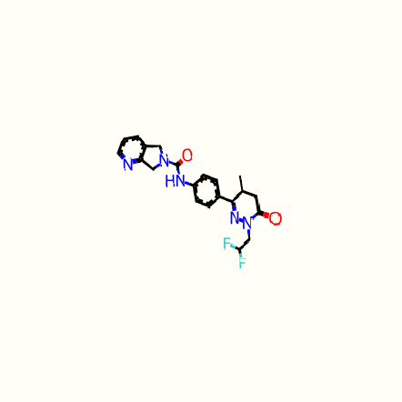 CC1CC(=O)N(CC(F)F)N=C1c1ccc(NC(=O)N2Cc3cccnc3C2)cc1